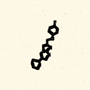 Fc1ccc(OCc2cn3cc(-c4ccccc4)cnc3n2)cc1